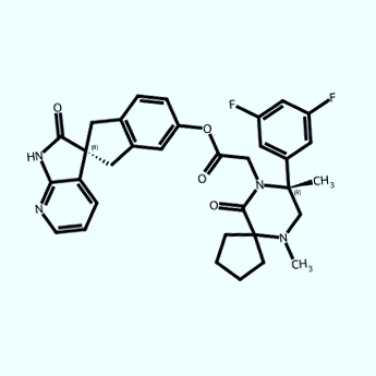 CN1C[C@@](C)(c2cc(F)cc(F)c2)N(CC(=O)Oc2ccc3c(c2)C[C@@]2(C3)C(=O)Nc3ncccc32)C(=O)C12CCCC2